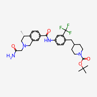 C[C@H]1CN(CC(N)=O)Cc2cc(C(=O)Nc3ccc(CC4CCN(C(=O)OC(C)(C)C)CC4)c(C(F)(F)F)c3)ccc21